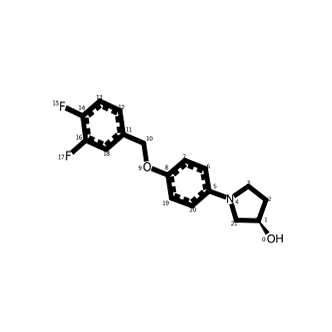 O[C@@H]1CCN(c2ccc(OCc3ccc(F)c(F)c3)cc2)C1